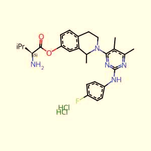 Cc1nc(Nc2ccc(F)cc2)nc(N2CCc3ccc(OC(=O)[C@@H](N)C(C)C)cc3C2C)c1C.Cl.Cl